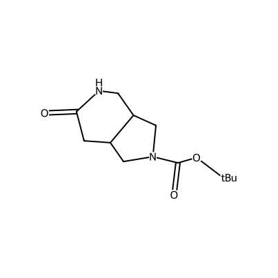 CC(C)(C)OC(=O)N1CC2CNC(=O)CC2C1